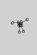 O=CCCCCCCCC(=O)OCC(COC(=O)CCCCCCCC=O)(COC(=O)CCCCCCCC=O)COC(=O)CCCCCCCC=O